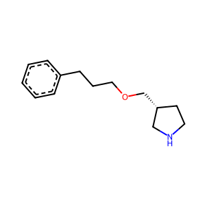 c1ccc(CCCOC[C@@H]2CCNC2)cc1